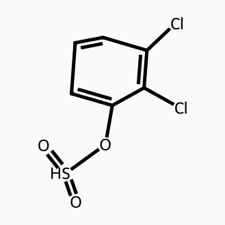 O=[SH](=O)Oc1cccc(Cl)c1Cl